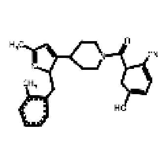 CC1=NC(Cc2ccccc2C)C(C2CCN(C(=O)C3CC(O)=CC=C3C#N)CC2)=C1